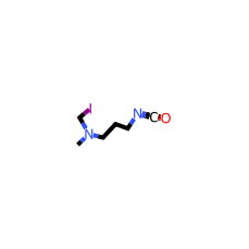 CN(CI)CCCN=C=O